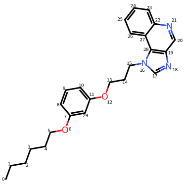 CCCCCCOc1cccc(OCCCn2cnc3cnc4ccccc4c32)c1